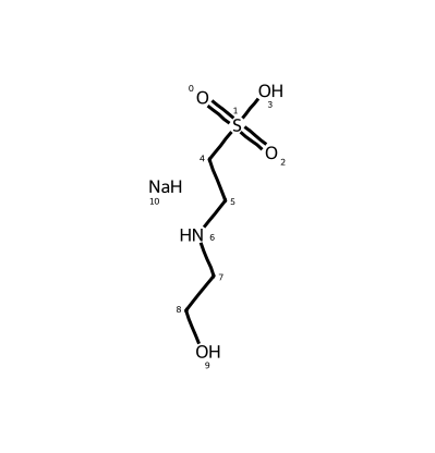 O=S(=O)(O)CCNCCO.[NaH]